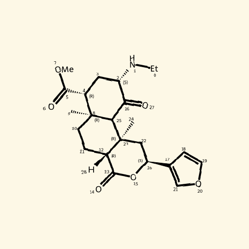 CCN[C@H]1C[C@@H](C(=O)OC)[C@]2(C)CC[C@H]3C(=O)O[C@H](c4ccoc4)C[C@]3(C)C2C1=O